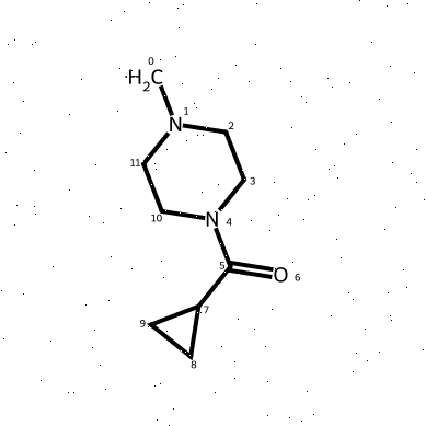 [CH2]N1CCN(C(=O)C2CC2)CC1